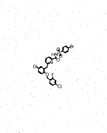 O=C(NS(=O)(=O)c1ccc(Br)cc1)c1cccc(Cc2cc(Cl)ccc2OCc2ccc(Cl)cc2F)n1